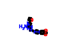 CN(CCN1CCN(c2ccc(S(C)(=O)=O)cc2)CC1)c1nc(N)n2nc(-c3ccco3)cc2n1